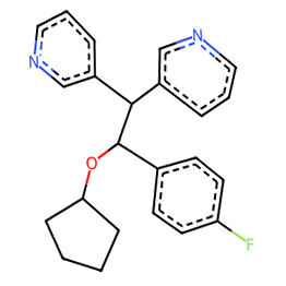 Fc1ccc(C(OC2CCCC2)C(c2cccnc2)c2cccnc2)cc1